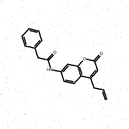 C=CCc1cc(=O)oc2cc(NC(=O)Cc3ccccc3)ccc12